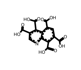 O=C(O)c1cc(C(=O)O)c2c(C(=O)O)c(C(=O)O)cnc2c1C(=O)O